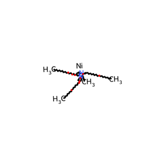 CCCCCCCCCCCCCCC=Cc1ccc(N=C(C#CCCCCCCCCCCCCCCCCCC)C(CCCC)=Nc2ccc(C=CCCCCCCCCCCCCCC)cc2)cc1.[Ni]